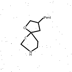 CCCC(C)C1COC2(CCNCC2)C1